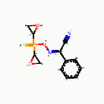 N#C/C(=N\OP(=S)(C1CO1)C1CO1)c1ccccc1